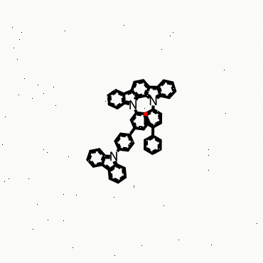 c1ccc(-c2ccc(-n3c4ccccc4c4ccc5c6ccccc6n(-c6cccc(-c7ccc(-n8c9ccccc9c9ccccc98)cc7)c6)c5c43)cc2)cc1